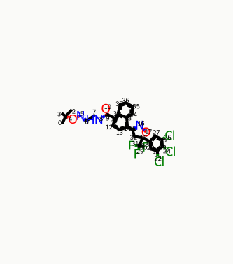 CC(C)(C)O/N=C/CNC(=O)c1ccc(C2=NOC(c3cc(Cl)c(Cl)c(Cl)c3)(C(F)(F)F)C2)c2ccccc12